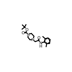 Cc1cccc(C)c1NC(=O)CN1CCN(C(=O)OC(C)(C)C)CC1